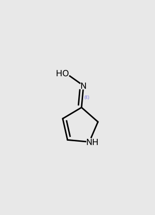 O/N=C1\C=CNC1